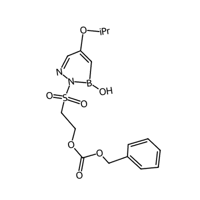 CC(C)OC1=CB(O)N(S(=O)(=O)CCOC(=O)OCc2ccccc2)N=C1